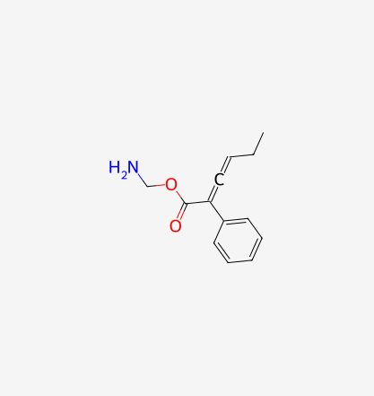 CCC=C=C(C(=O)OCN)c1ccccc1